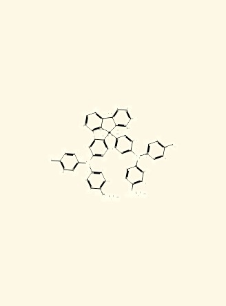 COc1ccc(N(c2ccc(C)cc2)c2ccc(C3(c4ccc(N(c5ccc(C)cc5)c5ccc(OC)cc5)cc4)c4ccccc4-c4ccccc43)cc2)cc1